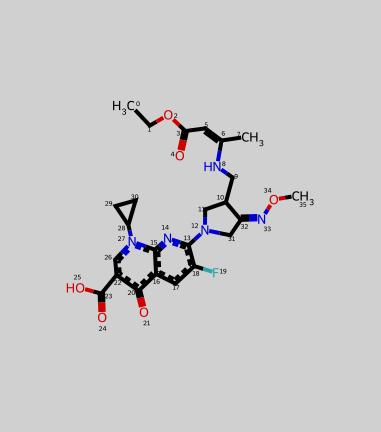 CCOC(=O)/C=C(/C)NCC1CN(c2nc3c(cc2F)c(=O)c(C(=O)O)cn3C2CC2)C/C1=N/OC